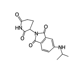 CC(C)Nc1ccc2c(c1)C(=O)N(C1CCC(=O)NC1=O)C2=O